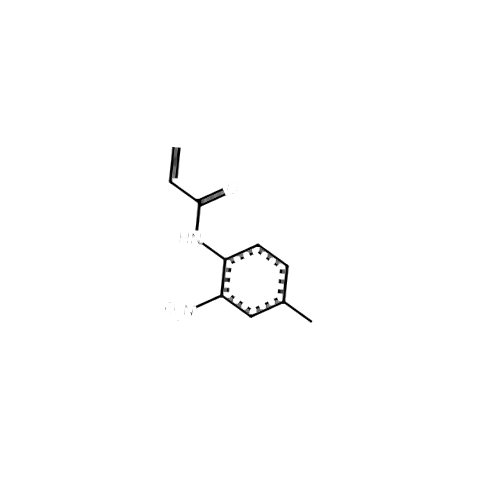 C=CC(=O)Nc1ccc(C)cc1[N+](=O)[O-]